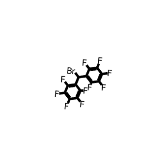 Fc1c(F)c(F)c(C(Br)c2c(F)c(F)c(F)c(F)c2F)c(F)c1F